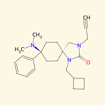 C#CCN1C[C@]2(CC[C@](c3ccccc3)(N(C)C)CC2)N(CC2CCC2)C1=O